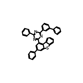 c1ccc(-c2cccc(-c3nc(-c4ccccc4)nc(-c4cc(-c5ccccc5)cc5sc6ccccc6c45)n3)c2)cc1